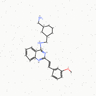 COc1cccc(C=Cc2nc(NCC3CCCC(CN)C3)c3ccccc3n2)c1